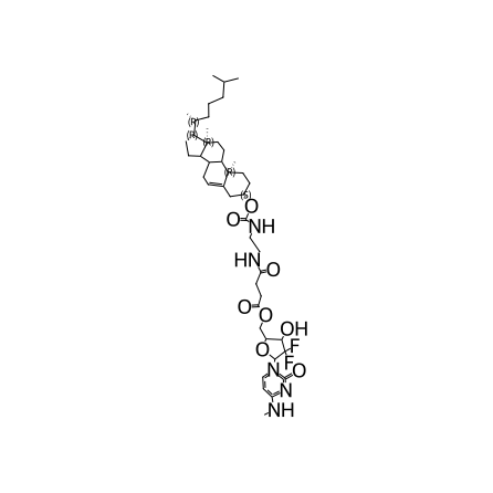 CNc1ccn(C2OC(COC(=O)CCC(=O)NCCNC(=O)O[C@H]3CC[C@@]4(C)C(=CCC5C4CC[C@@]4(C)C5CC[C@@H]4[C@H](C)CCCC(C)C)C3)C(O)C2(F)F)c(=O)n1